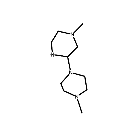 CN1CCN(C2CN(C)CC[N]2)CC1